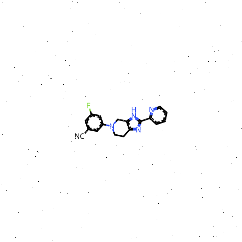 N#Cc1cc(F)cc(N2CCc3nc(-c4ccccn4)[nH]c3C2)c1